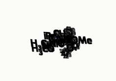 COc1cccc(OCc2ccccc2)c1-c1cc(C(=O)N/C(CC(=O)NCC(=O)N(C)C)=C(\C)C(C)C)nn1CC1CCCCC1